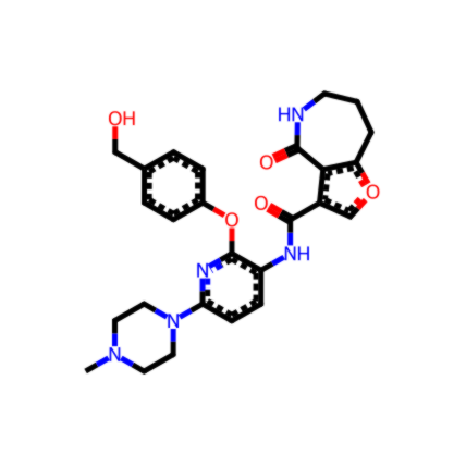 CN1CCN(c2ccc(NC(=O)c3coc4c3C(=O)NCCC4)c(Oc3ccc(CO)cc3)n2)CC1